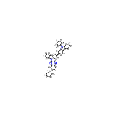 c1ccc(-c2ccc3nc4c5cc(-c6ccc7c8ccccc8n(-c8ccccc8)c7c6)cc6c7ccccc7n(c4nc3c2)c65)cc1